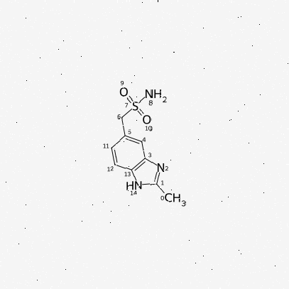 Cc1nc2cc(CS(N)(=O)=O)ccc2[nH]1